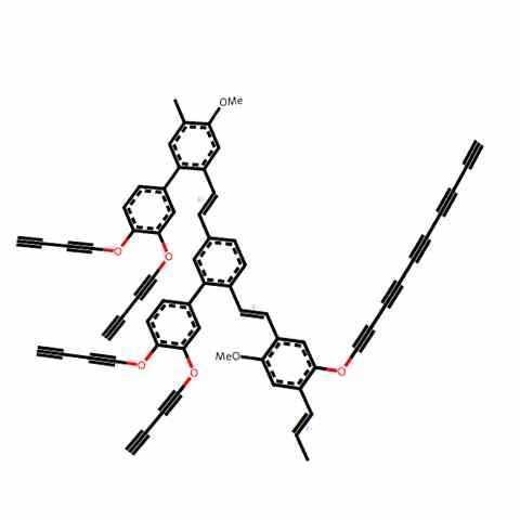 C#CC#CC#CC#CC#COc1cc(/C=C/c2ccc(/C=C/c3cc(OC)c(C)cc3-c3ccc(OC#CC#C)c(OC#CC#C)c3)cc2-c2ccc(OC#CC#C)c(OC#CC#C)c2)c(OC)cc1/C=C/C